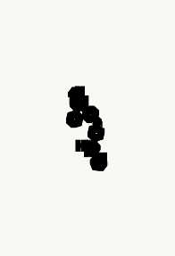 c1ccc(-c2cn3ccnc3nc2-c2ccc(CN3CCC(c4cc(-c5ccccn5)n[nH]4)CC3)cc2)cc1